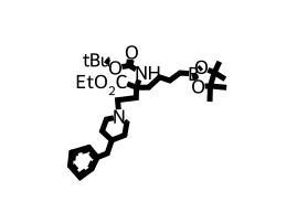 CCOC(=O)C(CCCCB1OC(C)(C)C(C)(C)O1)(CCN1CCC(Cc2ccccc2)CC1)NC(=O)OC(C)(C)C